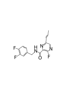 C/C=C/c1cnc(F)c(C(=O)NCc2ccc(F)c(F)c2)n1